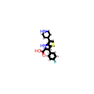 O=C(O)c1[nH]c2c(C3CCNCC3)csc2c1-c1ccc(F)cc1